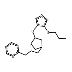 CCCSc1nsnc1OC1CC2CC(Cc3ccccn3)C1C2